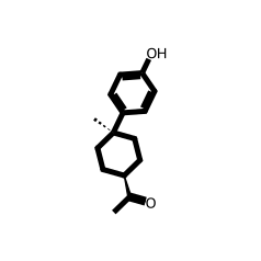 CC(=O)[C@H]1CC[C@@](C)(c2ccc(O)cc2)CC1